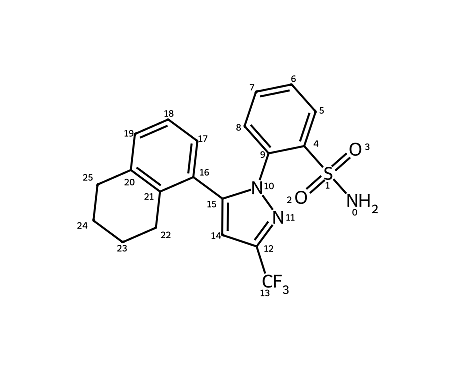 NS(=O)(=O)c1ccccc1-n1nc(C(F)(F)F)cc1-c1cccc2c1CCCC2